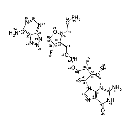 Nc1nc2c(ncn2[C@@H]2SC(OPOC[C@H]3[C@H](F)[C@H](n4nnc5c(N)ncnc54)O[C@@H]3COP)[C@H](F)[C@H]2OS)c(=O)[nH]1